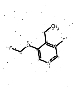 CCc1c(F)cncc1OCF